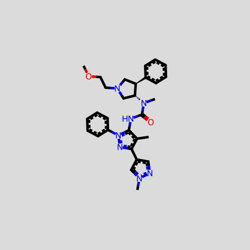 COCCN1C[C@@H](N(C)C(=O)Nc2c(C)c(-c3cnn(C)c3)nn2-c2ccccc2)[C@H](c2ccccc2)C1